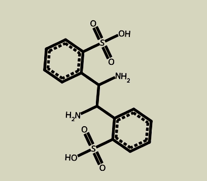 NC(c1ccccc1S(=O)(=O)O)C(N)c1ccccc1S(=O)(=O)O